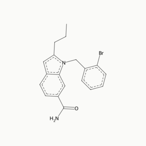 CCCc1cc2ccc(C(N)=O)cc2n1Cc1ccccc1Br